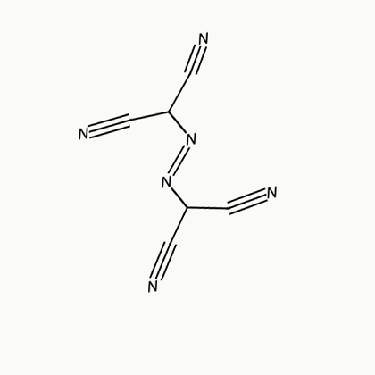 N#CC(C#N)N=NC(C#N)C#N